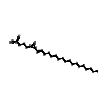 CCCCCCCCCCCCCCCC/C=C/C1OC1CCCC(=O)O